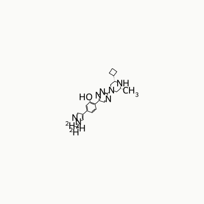 [2H]C([2H])([2H])n1cc(-c2ccc(-c3cnc(N4C[C@@H](C)N[C@@H](C5CCC5)C4)nn3)c(O)c2)cn1